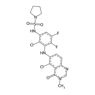 Cn1cnc2ccc(Nc3c(F)c(F)cc(NS(=O)(=O)N4CCCC4)c3Cl)c(Cl)c2c1=O